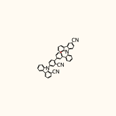 N#Cc1ccc2c(c1)c1ccccc1n2-c1ccccc1-c1cccc(-c2ccc(-n3c4ccccc4c4cccc(C#N)c43)cc2C#N)c1